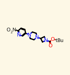 CC(C)(C)OC(=O)N1CC(N2CCN(c3ccc([N+](=O)[O-])nc3)CC2)C1